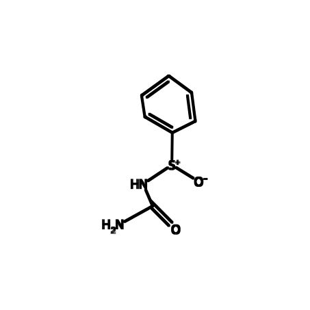 NC(=O)N[S+]([O-])c1ccccc1